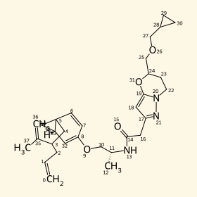 C=CCC(CC12C=CC(OC[C@@H](C)NC(=O)Cc3cc4n(n3)CCC(COCC3CC3)O4)=C[C@@H]1C2)C(=C)C